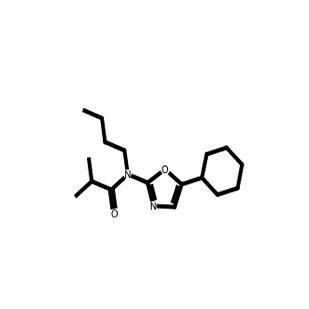 CCCCN(C(=O)C(C)C)c1ncc(C2CCCCC2)o1